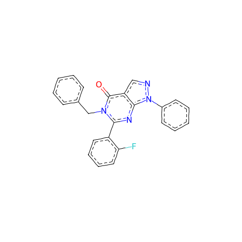 O=c1c2cnn(-c3ccccc3)c2nc(-c2ccccc2F)n1Cc1ccccc1